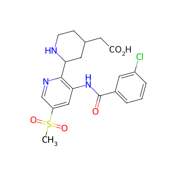 CS(=O)(=O)c1cnc(C2CC(CC(=O)O)CCN2)c(NC(=O)c2cccc(Cl)c2)c1